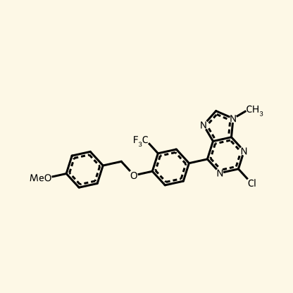 COc1ccc(COc2ccc(-c3nc(Cl)nc4c3ncn4C)cc2C(F)(F)F)cc1